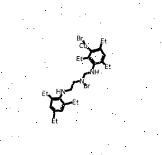 CCc1cc(CC)c(NCCN(Br)CNc2c(CC)cc(CC)[c]([Co][Br])c2CC)c(CC)c1